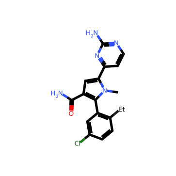 CCc1ccc(Cl)cc1-c1c(C(N)=O)cc(-c2ccnc(N)n2)n1C